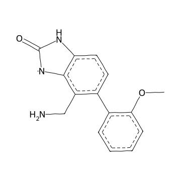 COc1ccccc1-c1ccc2c(c1CN)[N]C(=O)N2